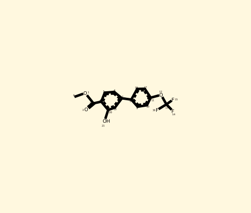 COC(=O)c1ccc(-c2ccc(OC(F)(F)F)cc2)cc1O